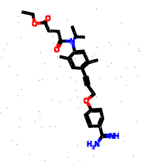 CCOC(=O)CCC(=O)N(c1cc(C)c(C#CCOc2ccc(C(=N)N)cc2)cc1C)C(C)C